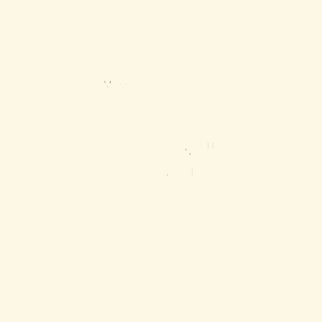 CCC(OC(c1ccccc1)(c1ccccc1)c1ccccc1)N(C)CCc1ccc(OC)cc1